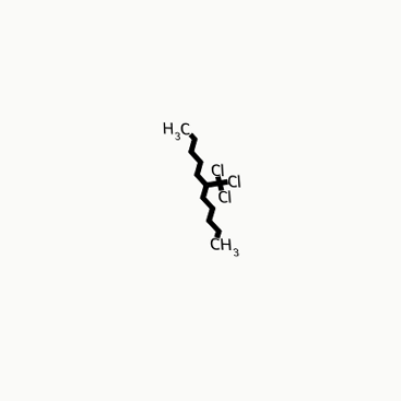 CCCCCC(CCCCC)C(Cl)(Cl)Cl